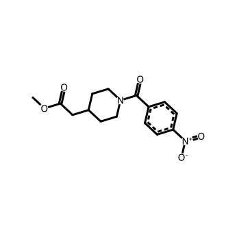 COC(=O)CC1CCN(C(=O)c2ccc([N+](=O)[O-])cc2)CC1